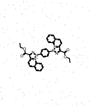 CCOC(=O)c1nn(-c2ccc(-n3nc(C(=O)OCC)c4ccc5ccccc5[n+]43)cc2)[n+]2c1ccc1ccccc12